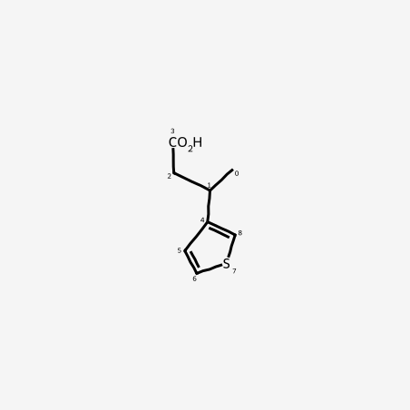 CC(CC(=O)O)c1ccsc1